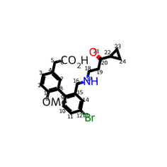 COc1ccc(CC(=O)O)cc1-c1ccc(Br)cc1CNCCC(=O)C1CC1